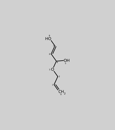 C=CCOC(O)C=CO